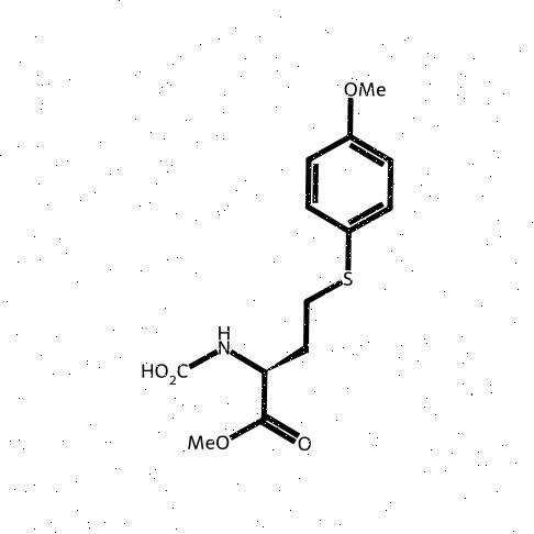 COC(=O)[C@H](CCSc1ccc(OC)cc1)NC(=O)O